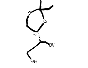 CC1(C)OC[C@@H](C(O)CO)O1